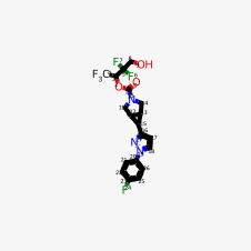 O=C(OC(C(F)(F)F)C(F)(F)CO)N1CC2C(C1)C2c1ccn(-c2ccc(F)cc2)n1